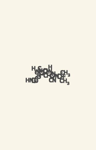 C[C@@H]1CN(c2nc(Nc3ccc4c(c3)cc(OCC3CNCCO3)c(=O)n4C)c(Cl)cc2C#N)C[C@H](C)C1F